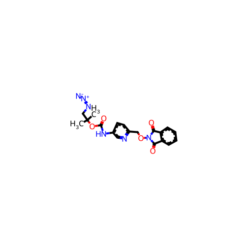 CC(C)(CN=[N+]=[N-])OC(=O)Nc1ccc(CON2C(=O)c3ccccc3C2=O)nc1